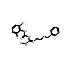 CCNC(=NCCOCc1ccccc1)NC(=O)Nc1c(C)cccc1Cl